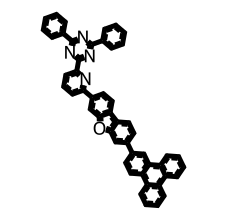 c1ccc(-c2nc(-c3ccccc3)nc(-c3cccc(-c4ccc5c(c4)oc4cc(-c6ccc7c8ccccc8c8ccccc8c7c6)ccc45)n3)n2)cc1